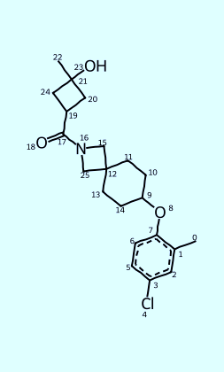 Cc1cc(Cl)ccc1OC1CCC2(CC1)CN(C(=O)C1CC(C)(O)C1)C2